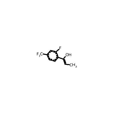 CC=C(O)c1ccc(C(F)(F)F)cc1F